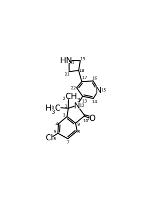 CC1(C)c2cc(Cl)ccc2C(=O)N1c1cncc(C2CNC2)c1